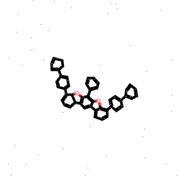 C1=CCCC(c2ccc(C3=CC=CC4c5cc6c(oc7c(-c8ccc(-c9ccccc9)cc8)cccc76)c(-c6ccccc6)c5OC34)cc2)=C1